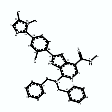 CNC(=O)c1cnc(N(Cc2ccccc2)Cc2ccccc2)c2[nH]c(-c3ccc(-c4ncc(C)n4C)cc3F)cc12